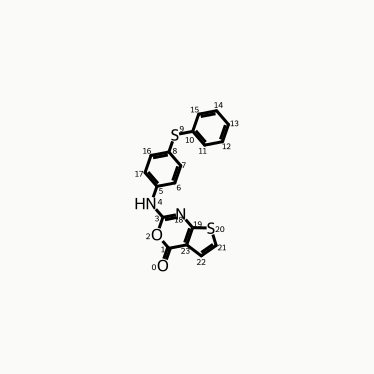 O=c1oc(Nc2ccc(Sc3ccccc3)cc2)nc2sccc12